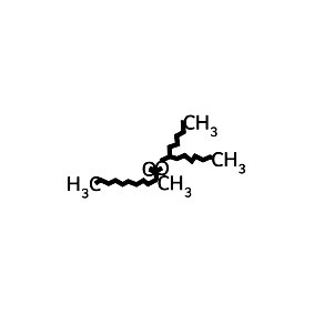 CCCCCCCCCC(C)C(=O)OCC(CCCCCC)CCCCCCC